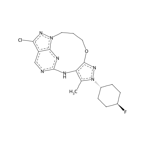 Cc1c2c(nn1[C@H]1CC[C@H](F)CC1)OCCCn1nc(Cl)c3cnc(nc31)N2